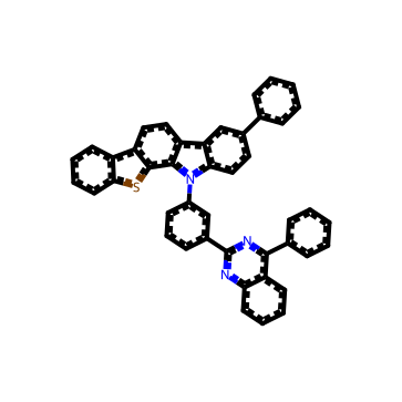 c1ccc(-c2ccc3c(c2)c2ccc4c5ccccc5sc4c2n3-c2cccc(-c3nc(-c4ccccc4)c4ccccc4n3)c2)cc1